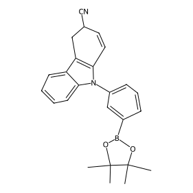 CC1(C)OB(c2cccc(-n3c4c(c5ccccc53)CC(C#N)C=C4)c2)OC1(C)C